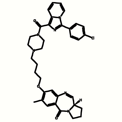 Cc1cc2c(cc1OCCCCN1CCN(C(=O)c3nc(-c4ccc(Cl)cc4)n4ccccc34)CC1)N=C[C@@H]1CCCN1C2=O